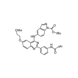 CCCC(=O)Nc1cccc(-c2nc(Nc3ccc4c(cnn4C(=O)OC(C)(C)C)c3)c3cc(OCCOC)ccc3n2)c1